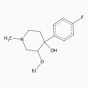 CCOC1CN(C)CCC1(O)c1ccc(F)cc1